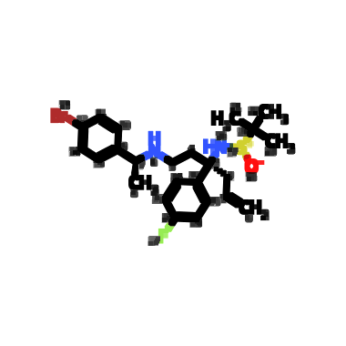 C=CC[C@](CCN[C@@H](C)c1ccc(Br)cc1)(N[S+]([O-])C(C)(C)C)c1ccc(F)cc1